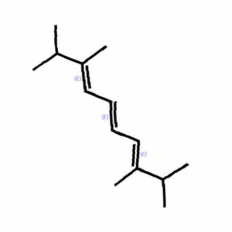 C\C(=C/C=C/C=C(\C)C(C)C)C(C)C